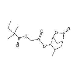 CCC(C)(C)C(=O)OCC(=O)OC1C(C)CC2CC1OC2=O